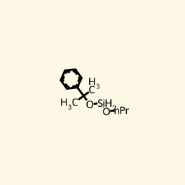 CCCO[SiH2]OC(C)(C)c1ccccc1